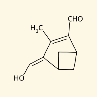 CC1=C(C=O)C2CC(C2)/C1=C\O